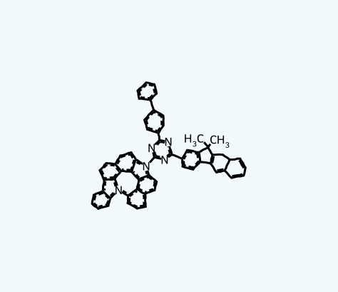 CC1(C)C2=C(C=C3C=CC=CC3C2)c2ccc(-c3nc(-c4ccc(-c5ccccc5)cc4)nc(-n4c5ccc6cccc7c6c5c5c6c(ccc8c9ccccc9n7c86)ccc54)n3)cc21